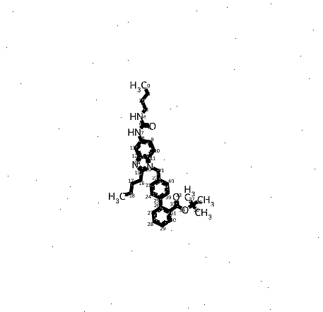 CCCCNC(=O)Nc1ccc2c(c1)nc(CCCC)n2Cc1ccc(-c2ccccc2C(=O)OC(C)(C)C)cc1